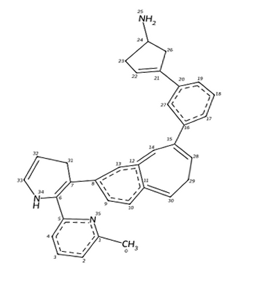 Cc1cccc(C2=C(c3ccc4c(c3)=CC(c3cccc(C5=CCC(N)C5)c3)=CCC=4)CC=CN2)n1